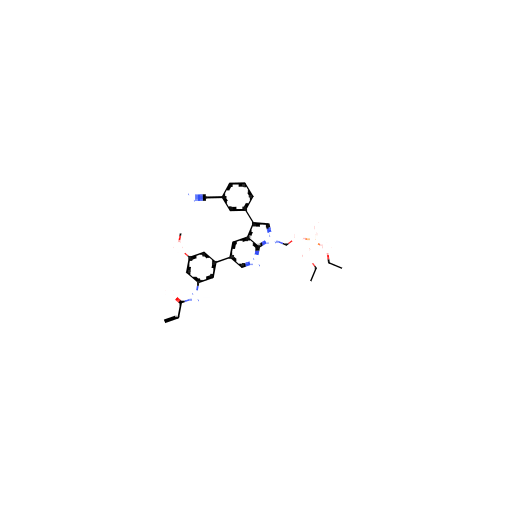 C=CC(=O)Nc1cc(OC)cc(-c2cnc3c(c2)c(-c2cccc(C#N)c2)cn3COP(=O)(OCC)OCC)c1